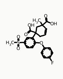 CC1(C(=O)O)C=CCC(C(=O)O)(c2cc(S(C)(=O)=O)ccc2Oc2ccc(F)cc2)C1